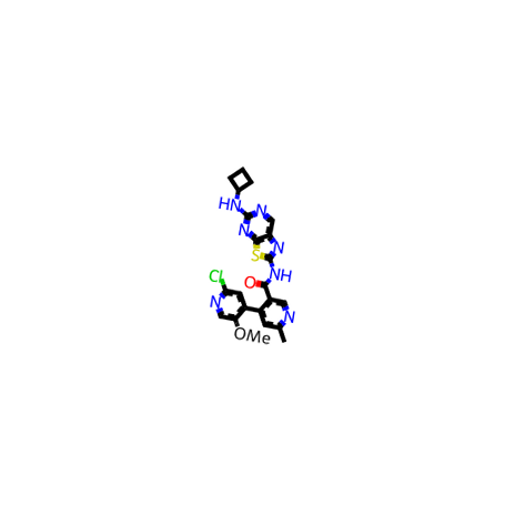 COc1cnc(Cl)cc1-c1cc(C)ncc1C(=O)Nc1nc2cnc(NC3CCC3)nc2s1